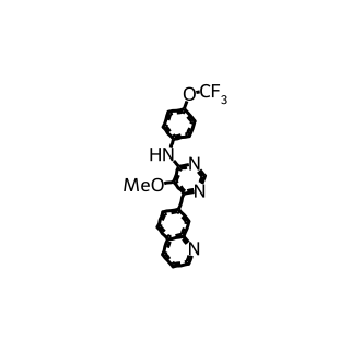 COc1c(Nc2ccc(OC(F)(F)F)cc2)ncnc1-c1ccc2cccnc2c1